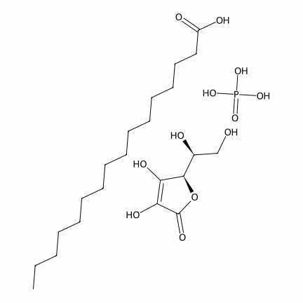 CCCCCCCCCCCCCCCC(=O)O.O=C1O[C@H]([C@@H](O)CO)C(O)=C1O.O=P(O)(O)O